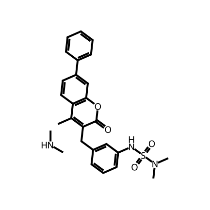 CNC.Cc1c(Cc2cccc(NS(=O)(=O)N(C)C)c2)c(=O)oc2cc(-c3ccccc3)ccc12